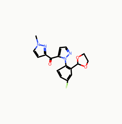 Cn1ccc(C(=O)c2ccnn2-c2ccc(F)cc2C2OCCO2)n1